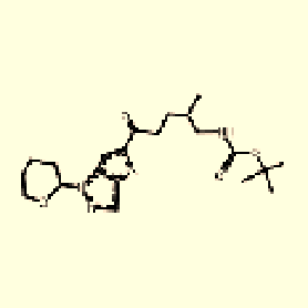 CC(CCC(=O)c1cc2c(cnn2C2CCCCO2)s1)CNC(=O)OC(C)(C)C